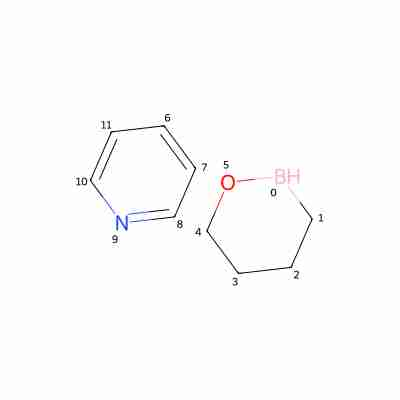 B1CCCCO1.c1ccncc1